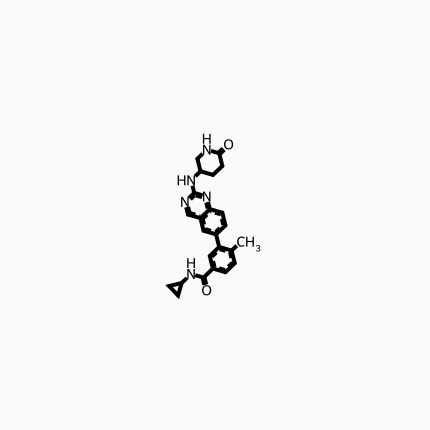 Cc1ccc(C(=O)NC2CC2)cc1-c1ccc2nc(NC3CCC(=O)NC3)ncc2c1